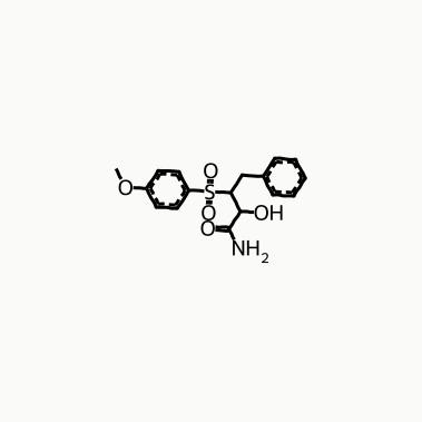 COc1ccc(S(=O)(=O)C(Cc2ccccc2)C(O)C(N)=O)cc1